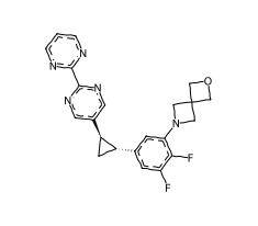 Fc1cc([C@@H]2C[C@H]2c2cnc(-c3ncccn3)nc2)cc(N2CC3(COC3)C2)c1F